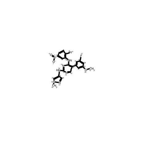 [2H]c1ccc([N+](=O)[O-])cc1Nc1nc(Nc2cnn(C)c2)ncc1-c1cc(F)cc(OC)c1